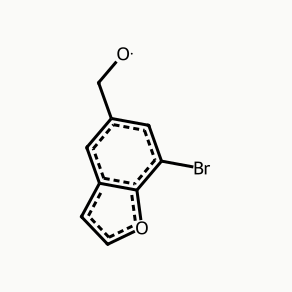 [O]Cc1cc(Br)c2occc2c1